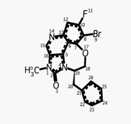 Cn1c(=O)n2c3c4c(c(Br)c(F)cc4ncc31)OC[C@H]2Cc1ccccc1